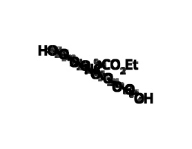 C=C(C#N)C(=O)OCC.OCCOCCOCCOCCOCCOCCOCCOCCO